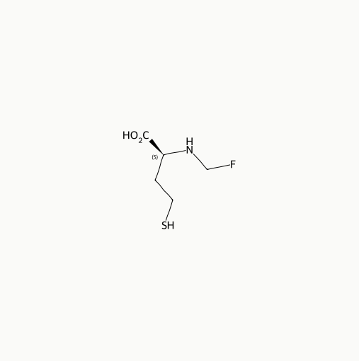 O=C(O)[C@H](CCS)NCF